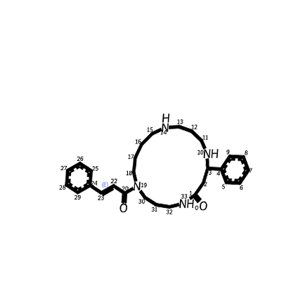 O=C1CC(c2ccccc2)NCCCNCCCCN(C(=O)/C=C/c2ccccc2)CCCN1